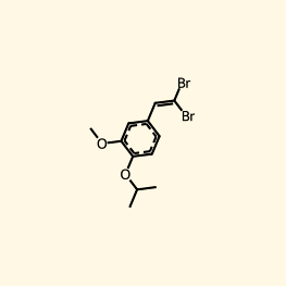 COc1cc(C=C(Br)Br)ccc1OC(C)C